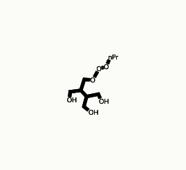 CCCOOOCC(CO)[C](CO)CO